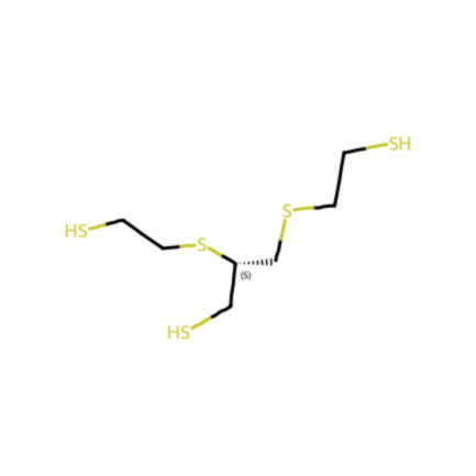 SCCSC[C@H](CS)SCCS